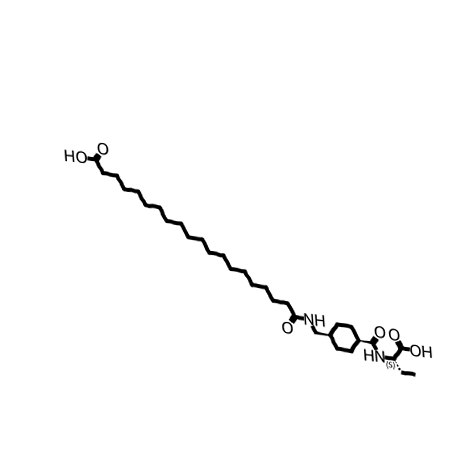 CC[C@H](NC(=O)[C@H]1CC[C@@H](CNC(=O)CCCCCCCCCCCCCCCCCCC(=O)O)CC1)C(=O)O